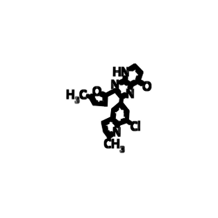 Cc1ccc2cc(-c3nc4c(=O)cc[nH]c4nc3-c3ccc(C)o3)cc(Cl)c2n1